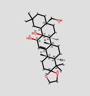 CC1(C)CC[C@]2(CO)CC[C@]3(C)[C@@](O)(C2C1)[C@H](O)C=C1[C@@]2(C)CCC4(OCCO4)C(C)(C)[C@@H]2CC[C@]13C